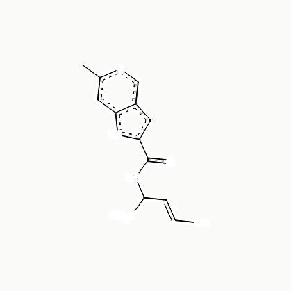 CCOC(=O)C(/C=C/C(C)(C)C)NC(=O)c1cc2cnc(C)cc2[nH]1